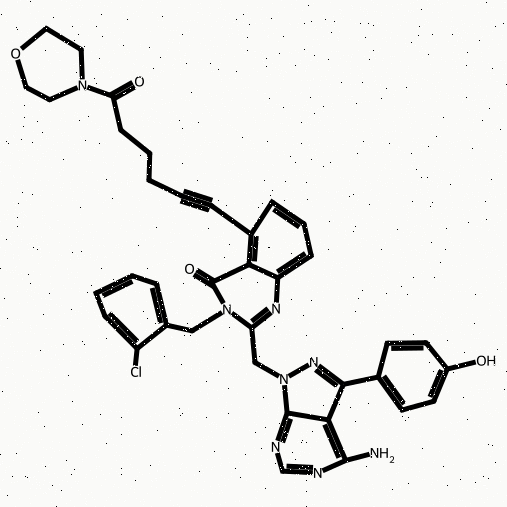 Nc1ncnc2c1c(-c1ccc(O)cc1)nn2Cc1nc2cccc(C#CCCCC(=O)N3CCOCC3)c2c(=O)n1Cc1ccccc1Cl